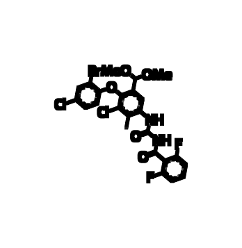 COC(OC)c1cc(NC(=O)NC(=O)c2c(F)cccc2F)c(C)c(Cl)c1Oc1ccc(Cl)cc1Br